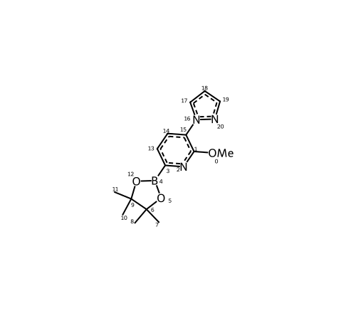 COc1nc(B2OC(C)(C)C(C)(C)O2)ccc1-n1cccn1